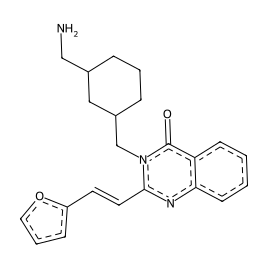 NCC1CCCC(Cn2c(C=Cc3ccco3)nc3ccccc3c2=O)C1